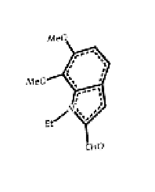 CCn1c(C=O)cc2ccc(OC)c(OC)c21